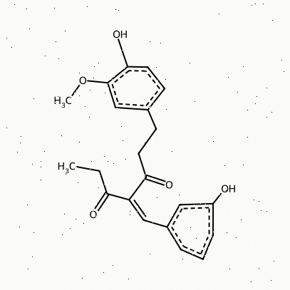 CCC(=O)C(=Cc1cccc(O)c1)C(=O)CCc1ccc(O)c(OC)c1